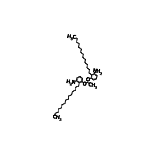 CCCCCCCCCCCCCCCc1c(N)cccc1OC(C)Oc1cccc(N)c1CCCCCCCCCCCCCCC